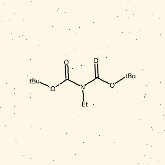 [CH2]CN(C(=O)OC(C)(C)C)C(=O)OC(C)(C)C